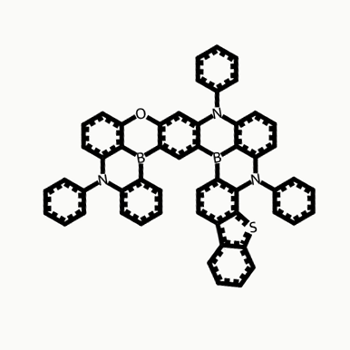 c1ccc(N2c3ccccc3B3c4cc5c(cc4Oc4cccc2c43)N(c2ccccc2)c2cccc3c2B5c2ccc4c(sc5ccccc54)c2N3c2ccccc2)cc1